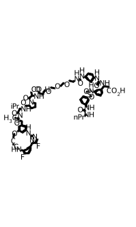 CCCNC(=O)Nc1cccc(S(=O)(=O)Nc2cccc(C(CC(=O)O)NC(=O)Nc3ccc(NC(=O)NCCOCCOCCOCCC(=O)NC(CC(=O)O)C(=O)N4CCCC4C(=O)NC(C(=O)N=S(C)(=O)Cc4cc5cc(c4)OCCCCNc4cc(ccc4F)-c4nc(ncc4F)N5)C(C)C)cc3)c2)c1